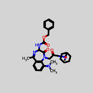 CC1=NC(NC(=O)OCc2ccccc2)C(=O)N(CC(=O)N2CC3CCC(CC3)C2)c2c1cccc2N(C)C